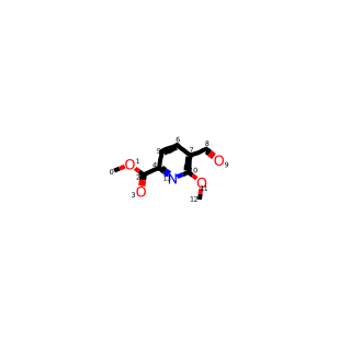 COC(=O)c1ccc(C=O)c(OC)n1